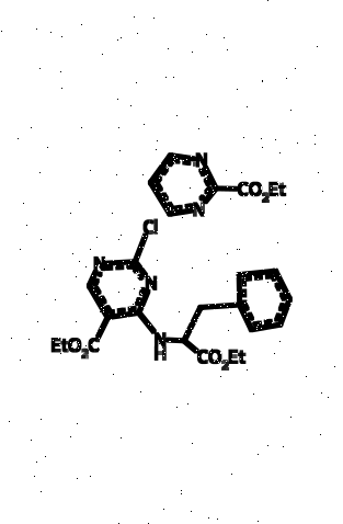 CCOC(=O)c1cnc(Cl)nc1NC(Cc1ccccc1)C(=O)OCC.CCOC(=O)c1ncccn1